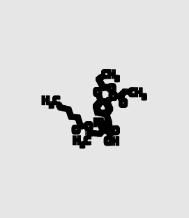 CCCCCC(=O)O[C@@H](C)CC(N)(Cc1ccc(OC(=O)CC)c(OC(=O)CC)c1)C(=O)O